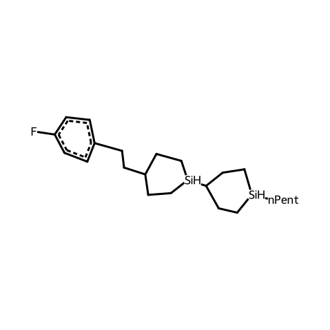 CCCCC[SiH]1CCC([SiH]2CCC(CCc3ccc(F)cc3)CC2)CC1